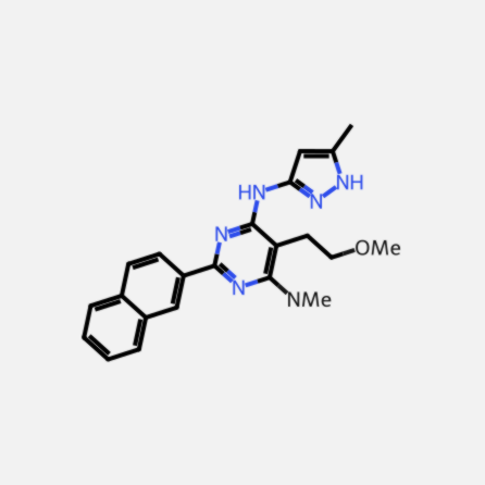 CNc1nc(-c2ccc3ccccc3c2)nc(Nc2cc(C)[nH]n2)c1CCOC